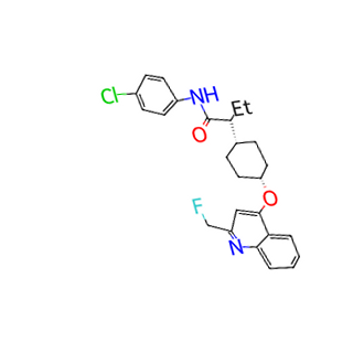 CCC(C(=O)Nc1ccc(Cl)cc1)[C@H]1CC[C@@H](Oc2cc(CF)nc3ccccc23)CC1